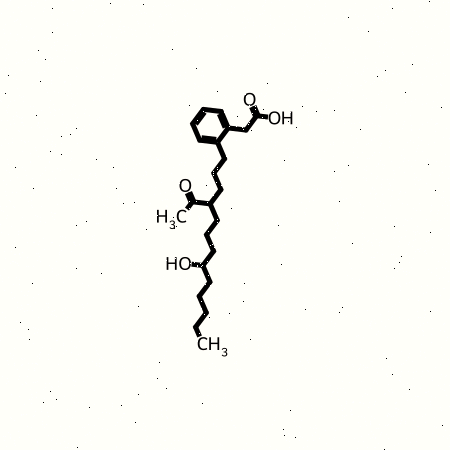 CCCCCC(O)CCCC(CCCc1ccccc1CC(=O)O)C(C)=O